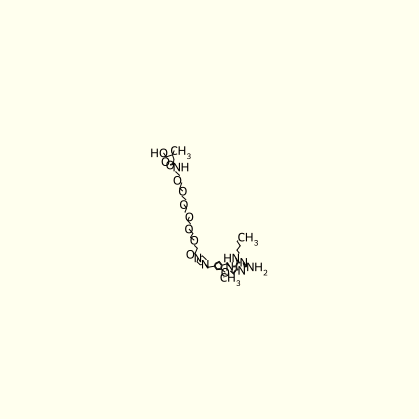 CCCCCNc1nc(N)nc2ccn(Cc3ccc(CN4CCN(C(=O)CCOCCOCCOCCOCCOCCOCCNC(=O)CC(C)C(=O)O)CC4)cc3OC)c12